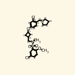 COc1ccc(Cl)cc1S(=O)(=O)N(C)CC1CC(Oc2ccc(CN3CCCC3)c(Cl)c2)C1